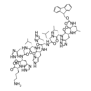 CC(C)C[C@H](NC(=O)OCC1c2ccccc2-c2ccccc21)C(=O)N[C@@H](Cc1c[nH]cn1)C(=O)N[C@@H](CC(C)C)C(=O)N[C@@H](CC(C)C)C(=O)N[C@@H](Cc1c[nH]cn1)C(=O)N[C@@H](Cc1c[nH]cn1)C(=O)N[C@@H](CC(C)C)C(=O)N[C@@H](Cc1c[nH]cn1)C(=O)N[C@@H](Cc1c[nH]cn1)C(=O)N[C@@H](CCCCN)C(=O)O